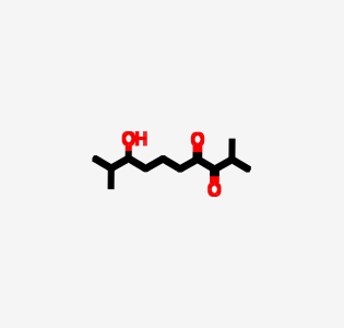 CC(C)C(=O)C(=O)CCCC(O)C(C)C